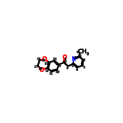 Cc1cccc(CC(=O)c2ccc3c(c2)OCCO3)n1